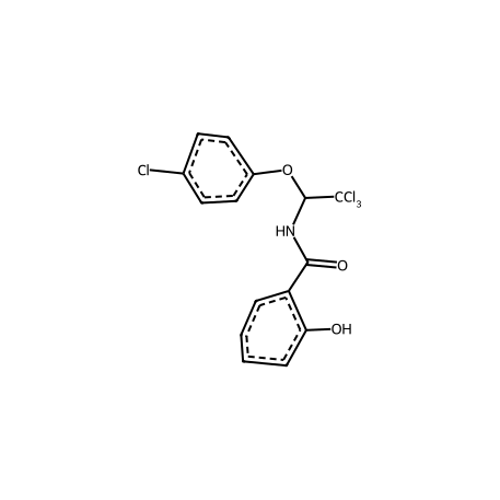 O=C(NC(Oc1ccc(Cl)cc1)C(Cl)(Cl)Cl)c1ccccc1O